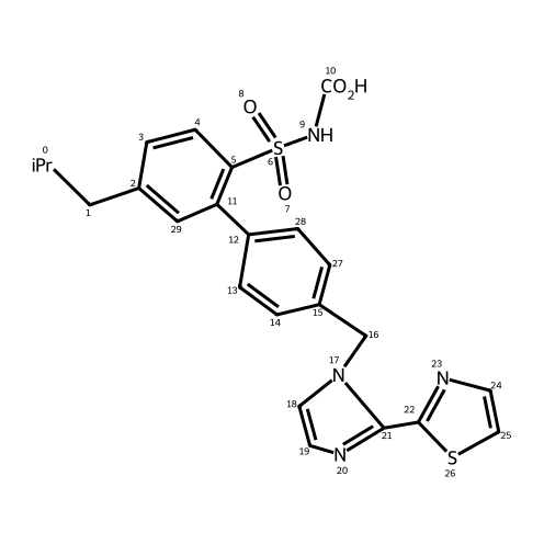 CC(C)Cc1ccc(S(=O)(=O)NC(=O)O)c(-c2ccc(Cn3ccnc3-c3nccs3)cc2)c1